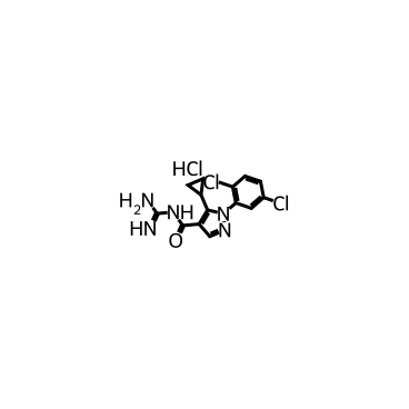 Cl.N=C(N)NC(=O)c1cnn(-c2cc(Cl)ccc2Cl)c1C1CC1